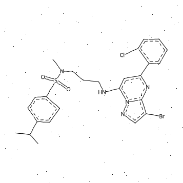 CC(C)c1ccc(S(=O)(=O)N(C)CCCNc2cc(-c3ccccc3Cl)nc3c(Br)cnn23)cc1